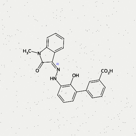 CN1C(=O)/C(=N\Nc2cccc(-c3cccc(C(=O)O)c3)c2O)c2ccccc21